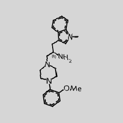 COc1ccccc1N1CCN(C[C@H](N)Cc2cn(C)c3ccccc23)CC1